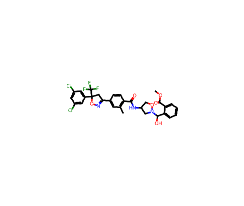 COC(=O)c1ccccc1C(O)N1CC(NC(=O)c2ccc(C3=NOC(c4cc(Cl)cc(Cl)c4)(C(F)(F)F)C3)cc2C)CO1